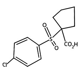 O=C(O)C1(S(=O)(=O)c2ccc(Cl)cc2)CCCC1